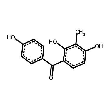 Cc1c(O)ccc(C(=O)c2ccc(O)cc2)c1O